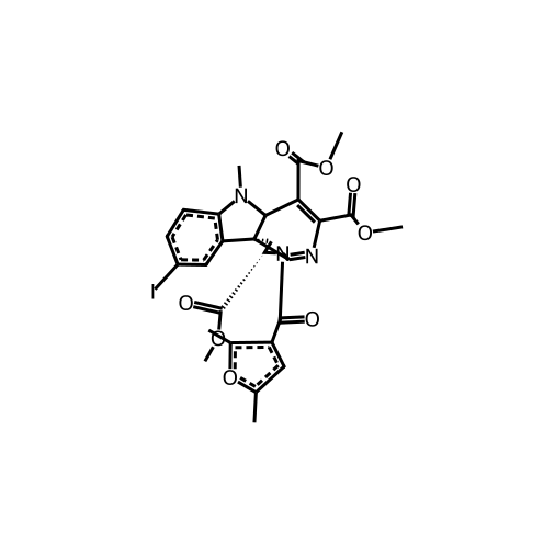 COC(=O)C1=C(C(=O)OC)C2N(C)c3ccc(I)cc3[C@@]23C[C@@H](C(=O)OC)N(C(=O)c2cc(C)oc2C)C3=N1